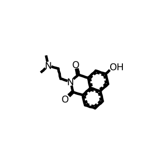 CN(C)CCN1C(=O)c2cccc3cc(O)cc(c23)C1=O